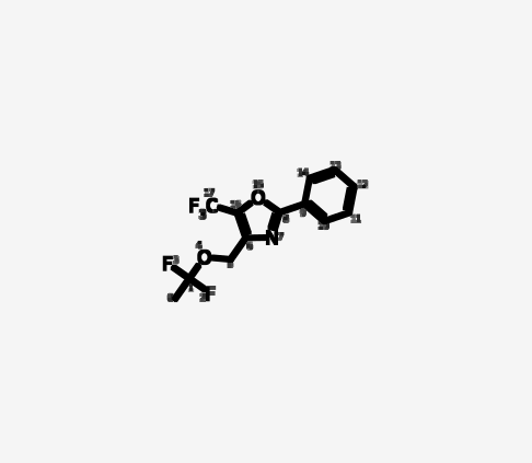 CC(F)(F)OCc1nc(-c2ccccc2)oc1C(F)(F)F